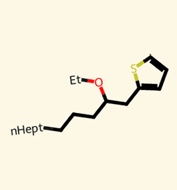 CCCCCCCCCCC(Cc1cc[c]s1)OCC